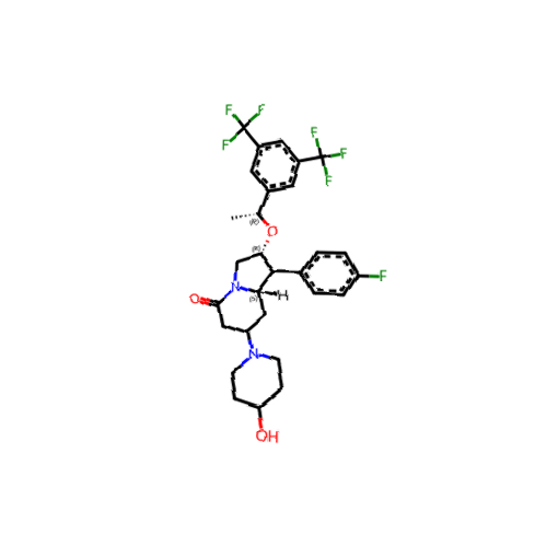 C[C@@H](O[C@H]1CN2C(=O)CC(N3CCC(O)CC3)C[C@H]2C1c1ccc(F)cc1)c1cc(C(F)(F)F)cc(C(F)(F)F)c1